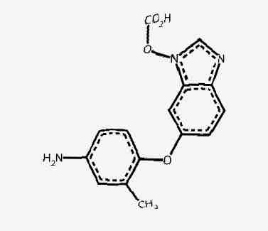 Cc1cc(N)ccc1Oc1ccc2ncn(OC(=O)O)c2c1